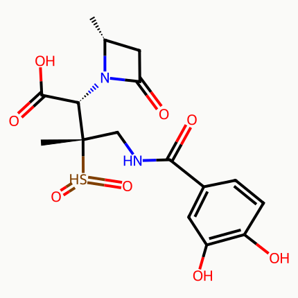 C[C@@H]1CC(=O)N1[C@@H](C(=O)O)[C@](C)(CNC(=O)c1ccc(O)c(O)c1)[SH](=O)=O